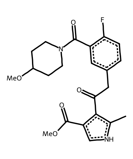 COC(=O)c1c[nH]c(C)c1C(=O)Cc1ccc(F)c(C(=O)N2CCC(OC)CC2)c1